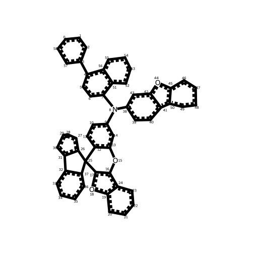 c1ccc(-c2ccc(N(c3ccc4c(c3)Oc3c(oc5ccccc35)C43c4ccccc4-c4ccccc43)c3ccc4c(c3)oc3ccccc34)c3ccccc23)cc1